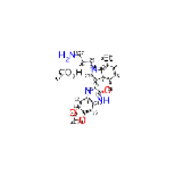 CC(=O)O.CCc1cccc2c(-c3nc4cc5c(cc4[nH]c3=O)OCO5)cn(CCCN)c12